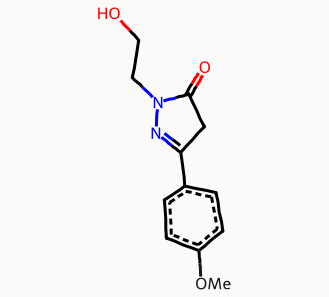 COc1ccc(C2=NN(CCO)C(=O)C2)cc1